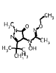 CCON=C(C)N(O)C1C(=O)N(C)N=C1C(C)(C)C